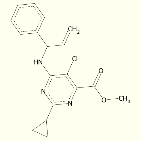 C=CC(Nc1nc(C2CC2)nc(C(=O)OC)c1Cl)c1ccccc1